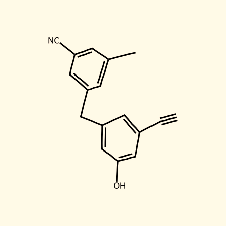 C#Cc1cc(O)cc(Cc2cc(C)cc(C#N)c2)c1